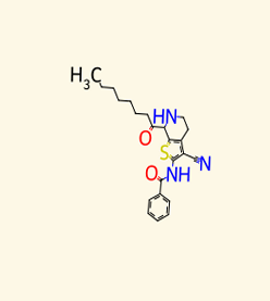 CCCCCCCC(=O)C1NCCc2c1sc(NC(=O)c1ccccc1)c2C#N